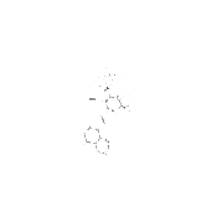 CSc1nc(/C=C/c2cccc3ccccc23)c(C#N)c(N2C[C@H]3CC[C@@H](C2)N3C(=O)OC(C)(C)C)n1